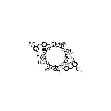 CC(C)C[C@H]1C(=O)O[C@H](Cc2ccc(Cc3cnccc3C(F)(F)F)cc2)C(=O)N(C)[C@@H](CC(C)C)C(=O)O[C@H](C)C(=O)N(C)[C@@H](CC(C)C)C(=O)O[C@H](Cc2ccc(Cc3cnccc3C(F)(F)F)cc2)C(=O)N(C)[C@@H](CC(C)C)C(=O)O[C@H](C)C(=O)N1C